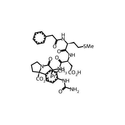 CSCC[C@H](NC(=O)Cc1ccccc1)C(=O)N[C@@H](CC(=O)O)C(=O)N[C@H](C(=O)N1CCC[C@@]1(C(=O)O)c1ccc(NC(N)=O)c(C)c1)C(C)C